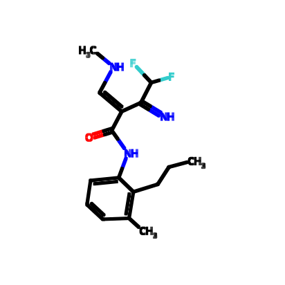 CCCc1c(C)cccc1NC(=O)/C(=C/NC)C(=N)C(F)F